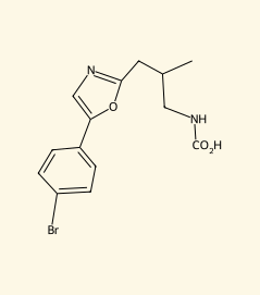 CC(CNC(=O)O)Cc1ncc(-c2ccc(Br)cc2)o1